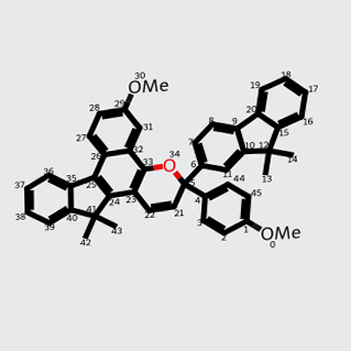 COc1ccc(C2(c3ccc4c(c3)C(C)(C)c3ccccc3-4)C=Cc3c4c(c5ccc(OC)cc5c3O2)-c2ccccc2C4(C)C)cc1